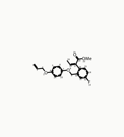 C=CCOc1ccc(OCc2cc(F)ccc2C(=CC)C(=O)OC)cc1